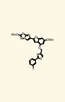 COc1cc(OCc2csc(-c3cccc(F)c3)n2)c2cc(-c3cn4nc(OC)sc4n3)oc2c1